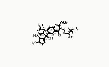 CCC(NCc1c(OC)nc2ccc(C(O)(c3cnc(C)n3C)c3cnc(C)n3C)cc2c1Cl)C(C)(F)F